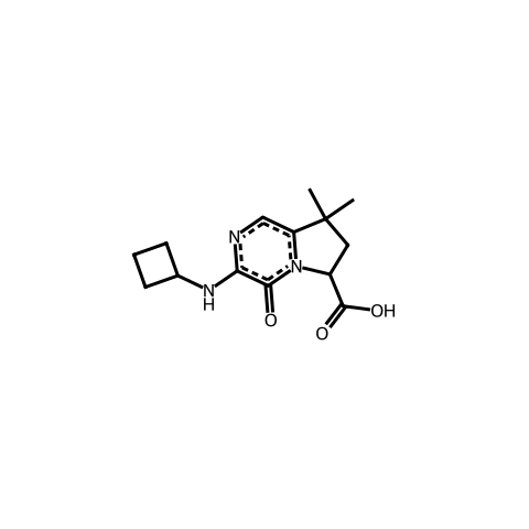 CC1(C)CC(C(=O)O)n2c1cnc(NC1CCC1)c2=O